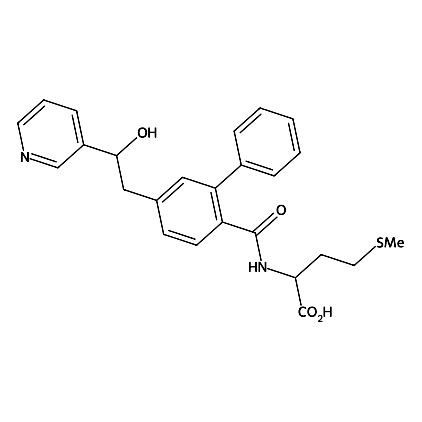 CSCCC(NC(=O)c1ccc(CC(O)c2cccnc2)cc1-c1ccccc1)C(=O)O